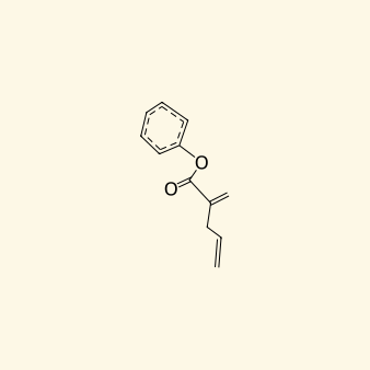 C=CCC(=C)C(=O)Oc1ccccc1